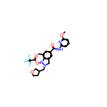 COc1cccc(NC(=O)c2cc(C)c3c(c2)CN(CC2CCOC2)N3OC(=O)C(F)(F)F)n1